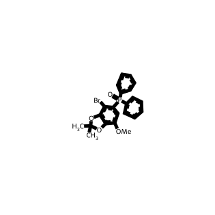 COc1cc(P(=O)(c2ccccc2)c2ccccc2)c(Br)c2c1OC(C)(C)O2